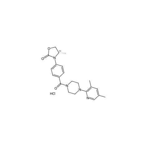 Cc1cnc(N2CCN(C(=O)c3ccc(N4C(=O)OC[C@@H]4C)cc3)CC2)c(C)c1.Cl